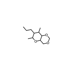 CCCC1C(C)OC2COCOC2C1C